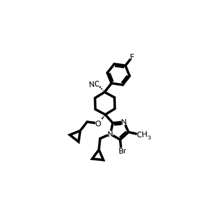 Cc1nc([C@]2(OCC3CC3)CC[C@](C#N)(c3ccc(F)cc3)CC2)n(CC2CC2)c1Br